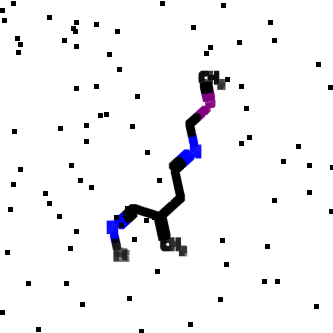 C=PC/N=C/CC(=C)/C=N\CC